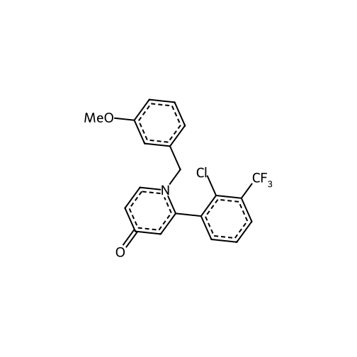 COc1cccc(Cn2ccc(=O)cc2-c2cccc(C(F)(F)F)c2Cl)c1